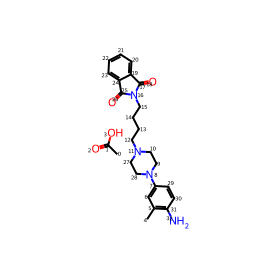 CC(=O)O.Cc1cc(N2CCN(CCCCN3C(=O)c4ccccc4C3=O)CC2)ccc1N